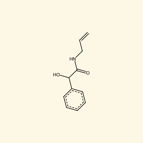 C=CCNC(=O)C(O)c1ccccc1